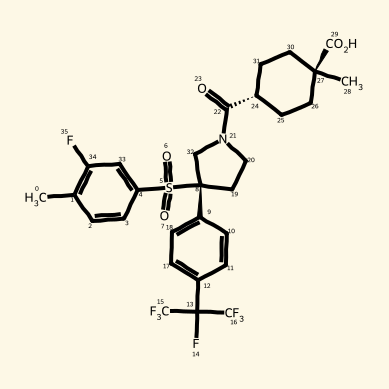 Cc1ccc(S(=O)(=O)[C@@]2(c3ccc(C(F)(C(F)(F)F)C(F)(F)F)cc3)CCN(C(=O)[C@H]3CC[C@](C)(C(=O)O)CC3)C2)cc1F